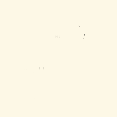 N#C[C@@H]1CCCN1C(=O)CNC1CCC(CNC(=O)c2ccccc2)C1